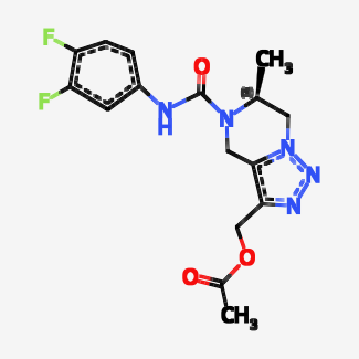 CC(=O)OCc1nnn2c1CN(C(=O)Nc1ccc(F)c(F)c1)[C@@H](C)C2